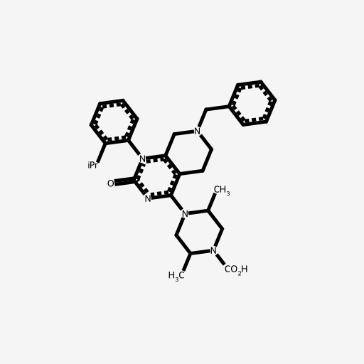 CC(C)c1ccccc1-n1c2c(c(N3CC(C)N(C(=O)O)CC3C)nc1=O)CCN(Cc1ccccc1)C2